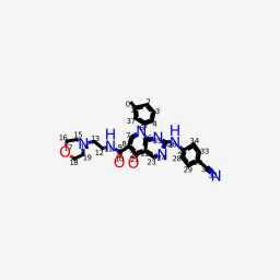 Cc1cccc(-n2cc(C(=O)NCCN3CCOCC3)c(=O)c3cnc(Nc4ccc(C#N)cc4)nc32)c1